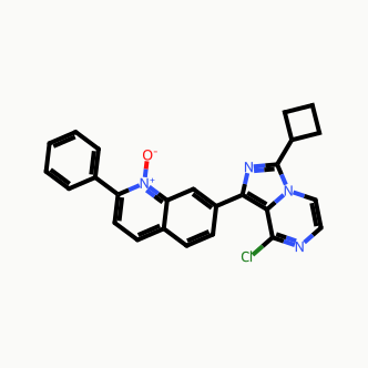 [O-][n+]1c(-c2ccccc2)ccc2ccc(-c3nc(C4CCC4)n4ccnc(Cl)c34)cc21